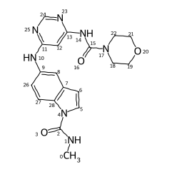 CNC(=O)n1ccc2cc(Nc3cc(NC(=O)N4CCOCC4)ncn3)ccc21